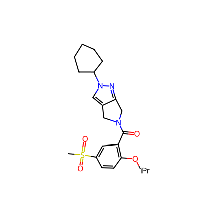 CC(C)Oc1ccc(S(C)(=O)=O)cc1C(=O)N1Cc2cn(C3CCCCC3)nc2C1